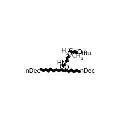 CCCCCCCCCCCCCCCCCCC(CCCCCCCCCCCCCCCCC)OC(=O)NCCCOC(C)(C)CCOC(C)(C)C